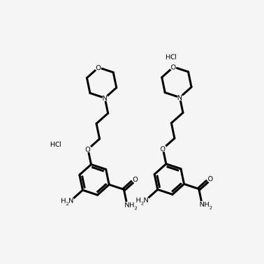 Cl.Cl.NC(=O)c1cc(N)cc(OCCCN2CCOCC2)c1.NC(=O)c1cc(N)cc(OCCCN2CCOCC2)c1